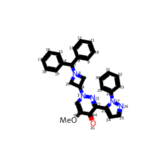 COc1cn(C2CN(C(c3ccccc3)c3ccccc3)C2)nc(-c2ccnn2-c2ccccc2)c1=O